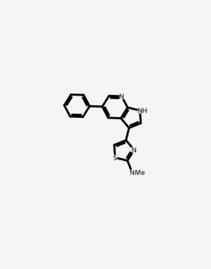 CNc1nc(-c2c[nH]c3ncc(-c4ccccc4)cc23)cs1